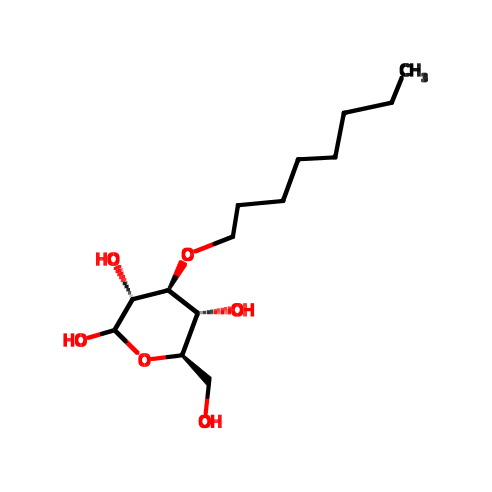 CCCCCCCCO[C@H]1[C@H](O)[C@@H](CO)OC(O)[C@@H]1O